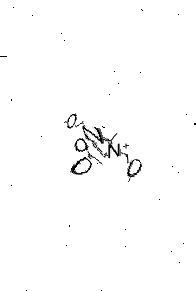 CC(=O)[O-].COCCn1cc[n+](CCOC)c1C